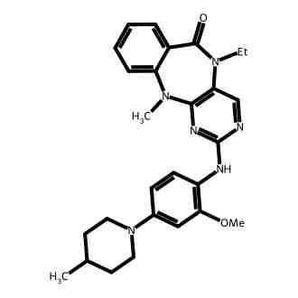 CCN1C(=O)c2ccccc2N(C)c2nc(Nc3ccc(N4CCC(C)CC4)cc3OC)ncc21